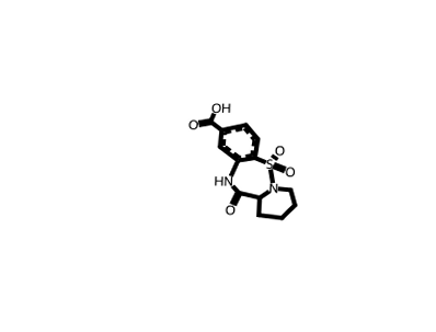 O=C(O)c1ccc2c(c1)NC(=O)C1CCCCN1S2(=O)=O